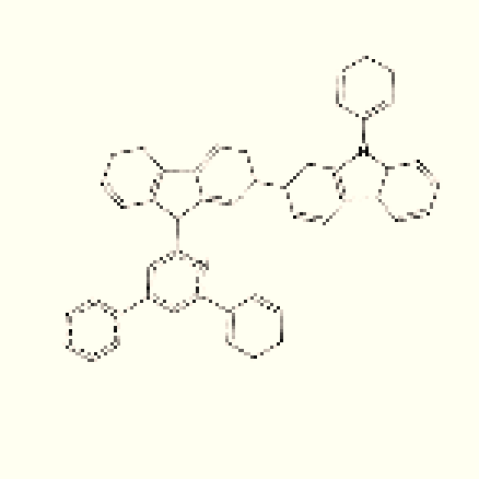 C1=CC2C3=C(CC(C4C=C5C(=CC4)C4=C(C=CCC4)C5c4cc(-c5ccccc5)cc(C5=CCCC=C5)n4)C=C3)N(C3=CCCC=C3)C2C=C1